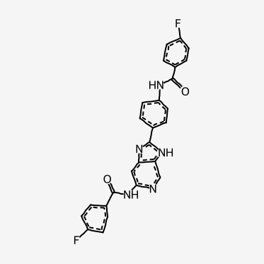 O=C(Nc1ccc(-c2nc3cc(NC(=O)c4ccc(F)cc4)ncc3[nH]2)cc1)c1ccc(F)cc1